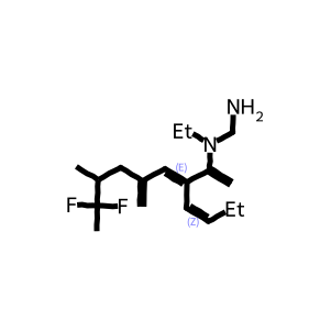 C=C(/C=C(\C=C/CC)C(=C)N(CC)CN)CC(C)C(C)(F)F